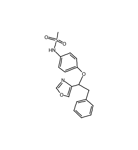 CS(=O)(=O)Nc1ccc(OC(Cc2ccccc2)c2cocn2)cc1